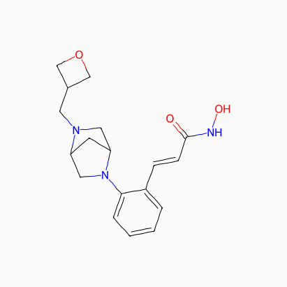 O=C(/C=C/c1ccccc1N1CC2CC1CN2CC1COC1)NO